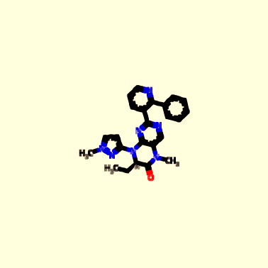 CC[C@@H]1C(=O)N(C)c2cnc(-c3cccnc3-c3ccccc3)nc2N1c1ccn(C)n1